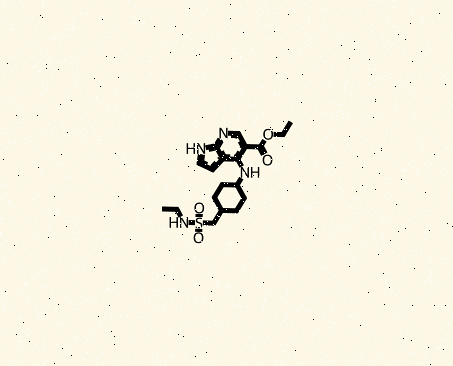 CCNS(=O)(=O)CC1CCC(Nc2c(C(=O)OCC)cnc3[nH]ccc23)CC1